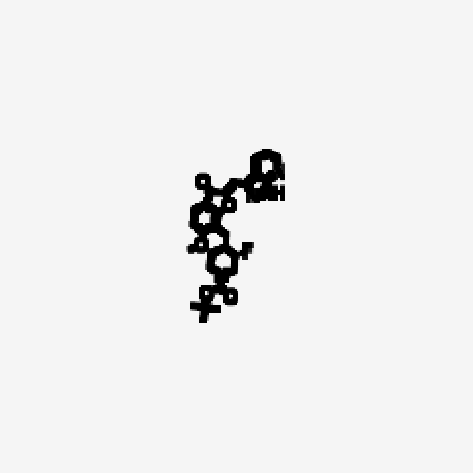 COc1ccc2c(c1C[C@H]1CCN(C(=O)OC(C)(C)C)C[C@H]1F)O/C(=C\c1n[nH]c3ncccc13)C2=O